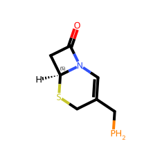 O=C1C[C@@H]2SCC(CP)=CN12